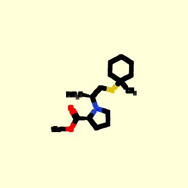 CCOC(=O)[C@H](CSC1(C)CCCCC1)N1CCC[C@H]1C(=O)OC(C)(C)C